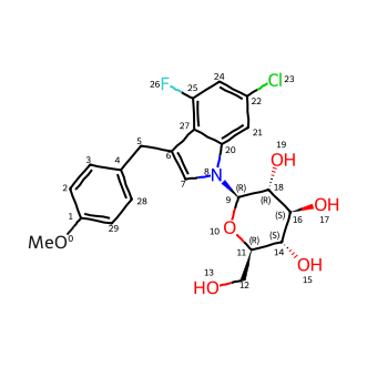 COc1ccc(Cc2cn([C@@H]3O[C@H](CO)[C@@H](O)[C@H](O)[C@H]3O)c3cc(Cl)cc(F)c23)cc1